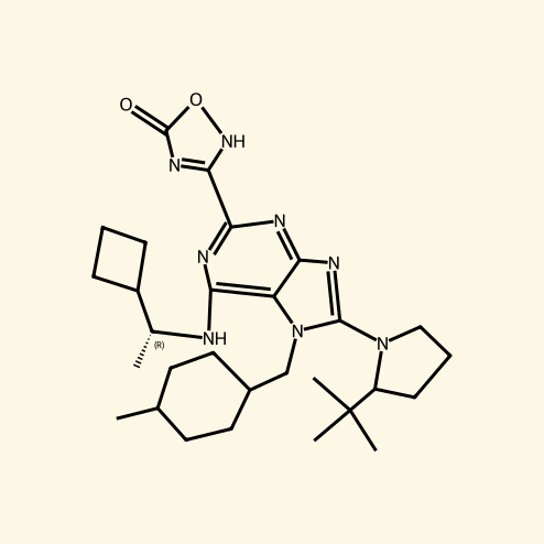 CC1CCC(Cn2c(N3CCCC3C(C)(C)C)nc3nc(-c4nc(=O)o[nH]4)nc(N[C@H](C)C4CCC4)c32)CC1